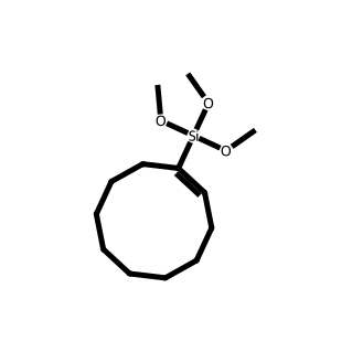 CO[Si](OC)(OC)C1=CCCCCCCCC1